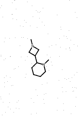 CN1CC(C2CCCCN2C)C1